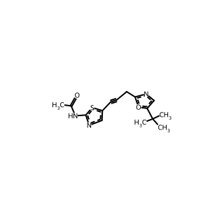 CC(=O)Nc1ncc(C#CCc2ncc(C(C)(C)C)o2)s1